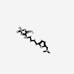 CN(C)Cc1ccc(CCCCNC2=NS(=O)(=O)N=C2N)o1